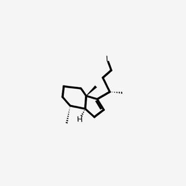 C[C@@H]1CCC[C@]2(C)C([C@@H](C)CCI)=CC[C@@H]12